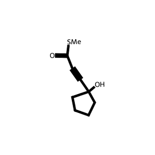 CSC(=O)C#CC1(O)CCCC1